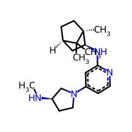 CN[C@@H]1CCN(c2ccnc(N[C@H]3C[C@H]4CC[C@]3(C)C4(C)C)c2)C1